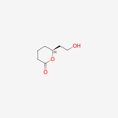 O=C1CCC[C@@H](CCO)O1